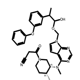 CC(c1cccc(Oc2ccccc2)c1)C(O)OCn1ccc2c(N(C)[C@H]3CN(C(=O)CC#N)CC[C@H]3C)ncnc21